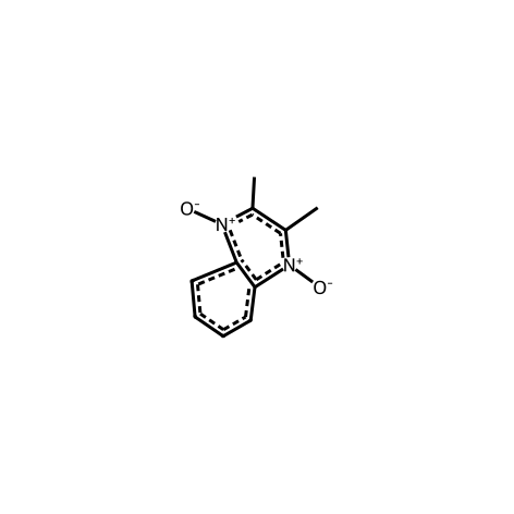 Cc1c(C)[n+]([O-])c2ccccc2[n+]1[O-]